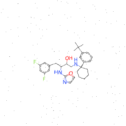 CC(C)(C)c1cccc(C2(NCC(O)C(Cc3cc(F)cc(F)c3)Nc3ncco3)CCCCC2)c1